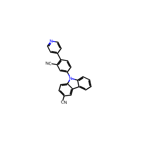 N#Cc1ccc2c(c1)c1ccccc1n2-c1ccc(-c2ccncc2)c(C#N)c1